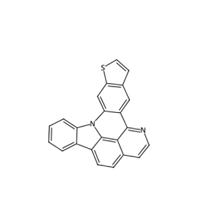 c1ccc2c(c1)c1ccc3ccnc4c5cc6ccsc6cc5n2c1c34